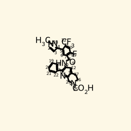 Cn1ccc(-c2cc(C(=O)Nc3cc4c(nc3-c3ccccc3)CN(C(=O)O)CC4)c(F)cc2C(F)(F)F)n1